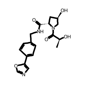 C[C@H](O)C(=O)N1C[C@H](O)C[C@H]1C(=O)NCc1ccc(-c2cnco2)cc1